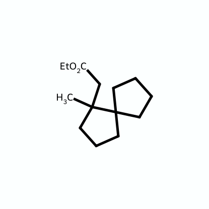 CCOC(=O)CC1(C)CCCC12CCCC2